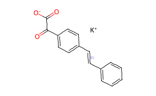 O=C([O-])C(=O)c1ccc(/C=C/c2ccccc2)cc1.[K+]